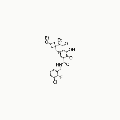 CCO[C@H]1C[C@@]2(Cn3cc(C(=O)NCc4cccc(Cl)c4F)c(=O)c(O)c3C(=O)N2CC)C1